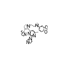 Cc1cc(C2C(c3nccs3)CCN2CCN(C)c2ccc3c(c2)OCO3)nc(-n2ccnc2)n1